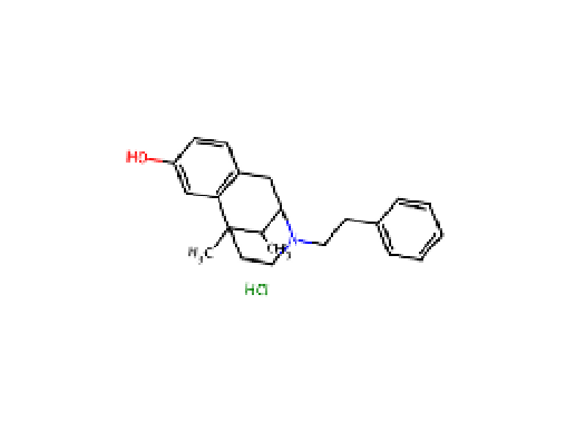 CC1C2Cc3ccc(O)cc3C1(C)CCN2CCc1ccccc1.Cl